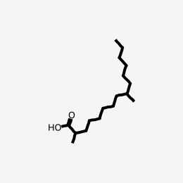 CCCCCCC(C)CCCCCCC(C)C(=O)O